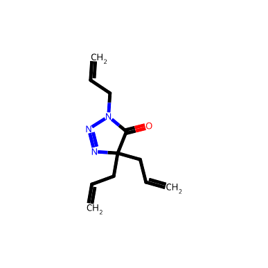 C=CCN1N=NC(CC=C)(CC=C)C1=O